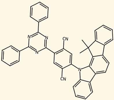 CC1(C)c2ccccc2-c2ccc3c4ccccc4n(-c4cc(C#N)c(-c5nc(-c6ccccc6)nc(-c6ccccc6)n5)cc4C#N)c3c21